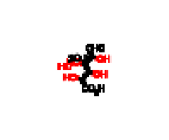 O=CC(O)C(O)C(O)C(O)C(=O)O.O=S(=O)(O)O